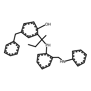 CCC(C)(Pc1ccccc1CNc1ccccc1)c1cc(Cc2ccccc2)ccc1O